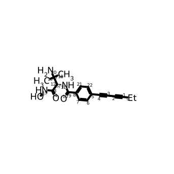 CCC#CC#Cc1ccc(C(=O)N[C@H](C(=O)NO)C(C)(C)N)cc1